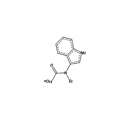 CCCCCCCCC(=O)N(CC)c1c[nH]c2ccccc12